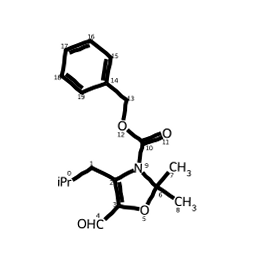 CC(C)CC1=C(C=O)OC(C)(C)N1C(=O)OCc1ccccc1